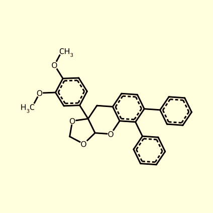 COc1ccc(C23Cc4ccc(-c5ccccc5)c(-c5ccccc5)c4OC2OCO3)cc1OC